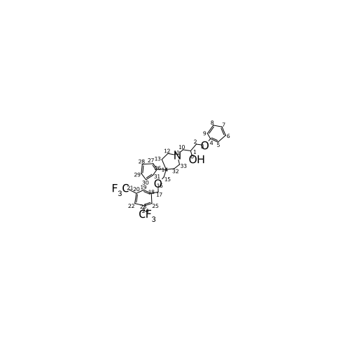 OC(COc1ccccc1)CN1CCC(COCc2cc(C(F)(F)F)cc(C(F)(F)F)c2)(c2ccccc2)CC1